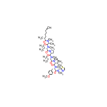 C#CCCCC[C@@H](C)C(=O)N(C)[C@@H](C)C(=O)N(C)[C@H](C(=O)N1CCC[C@H]1C(=O)N(C)[C@H](C(=O)N(C)[C@H](C(=O)N(C)[C@@H](Cc1ccc(OC)cc1)C(=O)N(C)Cc1nccs1)C(C)C)C(C)C)C(C)C